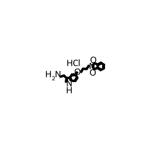 Cl.NCCc1c[nH]c2ccc(OCCCCN3C(=O)c4ccccc4C3=O)cc12